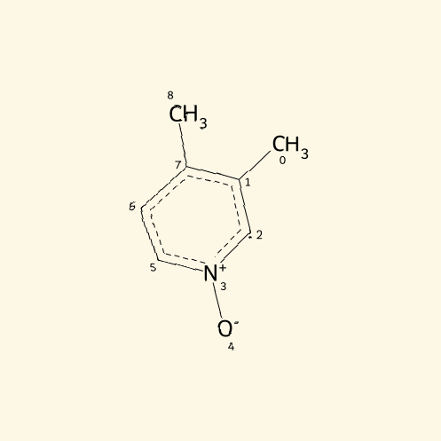 Cc1[c][n+]([O-])ccc1C